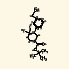 CC(C)(C)OC(=O)N1CCC(F)(F)[C@@H](c2ccnc(CO)c2)C1